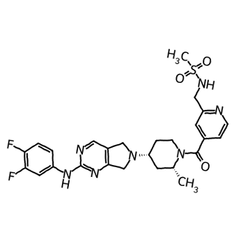 C[C@@H]1C[C@H](N2Cc3cnc(Nc4ccc(F)c(F)c4)nc3C2)CCN1C(=O)c1ccnc(CNS(C)(=O)=O)c1